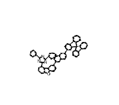 c1ccc(-c2nc(-c3ccccc3)nc(-c3cccc4oc5ccc(-c6ccc7cc(-c8ccc9c(c8)C8(c%10ccccc%10-c%10ccccc%108)c8ccccc8-9)ccc7c6)cc5c34)n2)cc1